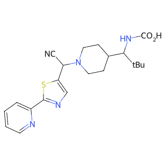 CC(C)(C)C(NC(=O)O)C1CCN(C(C#N)c2cnc(-c3ccccn3)s2)CC1